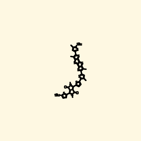 Cc1cc(-c2sc3c(sc4c5sc(-c6cc(C)c(C(C)(C)C)s6)c(C)c5sc34)c2C)sc1-c1ccc(C2=C3C(=O)N(C)C(c4ccc(C(C)(C)C)s4)=C3C(=O)N2C)s1